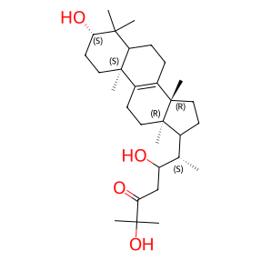 C[C@H](C(O)CC(=O)C(C)(C)O)C1CC[C@@]2(C)C3=C(CC[C@]12C)[C@@]1(C)CC[C@H](O)C(C)(C)C1CC3